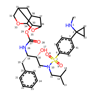 CNC1(c2ccc(S(=O)(=O)N(CC(C)C)C[C@@H](O)[C@H](Cc3ccccc3)NC(=O)O[C@H]3C4COC5OC3CC5C4)cc2)CC1